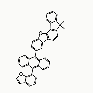 CC1(C)c2ccccc2-c2c1ccc1c2oc2ccc(-c3c4ccccc4c(-c4cccc5ccoc45)c4ccccc34)cc21